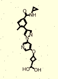 Cc1ccc(C(=O)NC2CC2)cc1-c1cnn(-c2cncc(OC3CC(C(O)O)C3)c2)c1